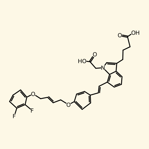 O=C(O)CCCc1cn(CC(=O)O)c2c(C=Cc3ccc(OCC=CCOc4cccc(F)c4F)cc3)cccc12